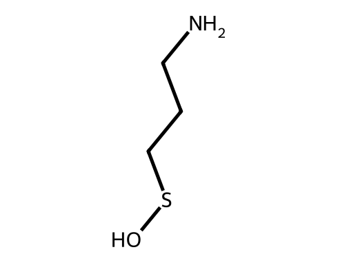 NCCCSO